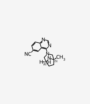 C[C@]12CC[C@H](CN(c3ncnc4ccc(C#N)cc34)C1)N2